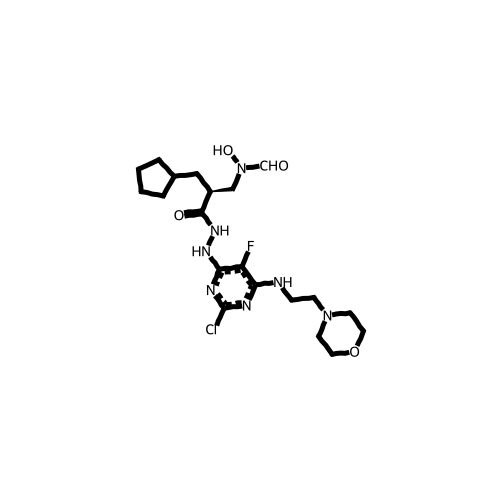 O=CN(O)C[C@H](CC1CCCC1)C(=O)NNc1nc(Cl)nc(NCCN2CCOCC2)c1F